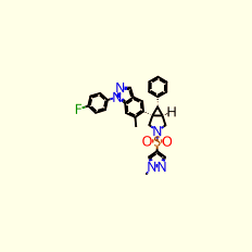 Cc1cc2c(cnn2-c2ccc(F)cc2)cc1[C@@]12CN(S(=O)(=O)c3cnn(C)c3)C[C@@H]1[C@H]2c1ccccc1